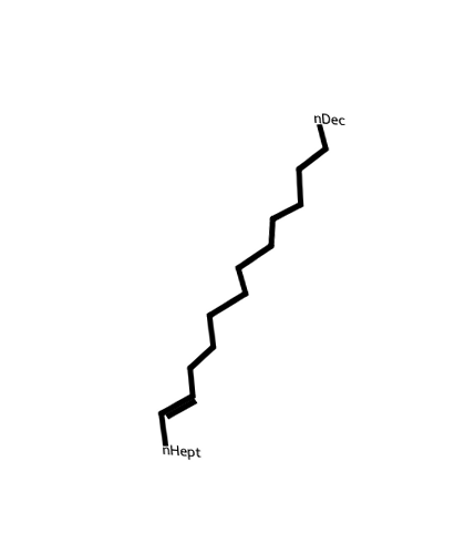 CCCCCCCC=CCCCCCCCCCCCCCCCCCCCC